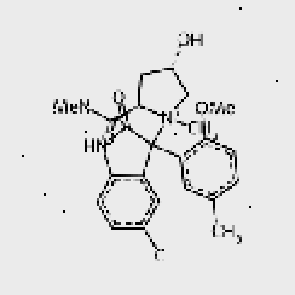 CNC(=O)[C@H]1C[C@H](O)C[N+]1(C)C1(c2cc(C)ccc2OC)C(=O)Nc2ccc(Cl)cc21